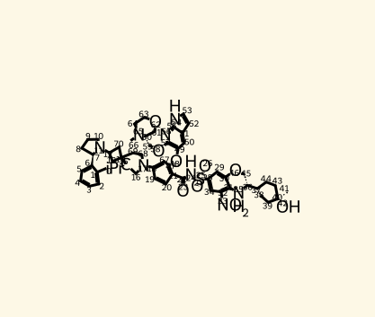 CC(C)c1ccccc1[C@H]1CCCN1C1CC2(CCN(c3ccc(C(=O)NS(=O)(=O)c4cc5c(c([N+](=O)[O-])c4)N[C@@H]([C@H]4CC[C@](C)(O)CC4)CO5)c(Oc4cc5cc[nH]c5nc4OC[C@H]4COCCN4C)c3)CC2)C1